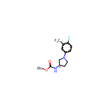 CC(C)(C)OC(=O)N[C@@H]1CCN(c2ccc(F)c(C(F)(F)F)c2)C1